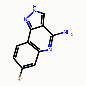 Nc1nc2cc(Br)ccc2c2n[nH]cc12